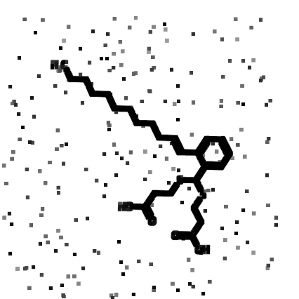 CCCCCCCCCC/C=C/c1ccccc1C(SCCC(=O)O)SCCC(=O)O